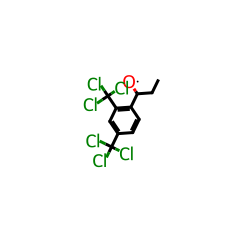 CCC([O])c1ccc(C(Cl)(Cl)Cl)cc1C(Cl)(Cl)Cl